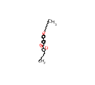 CCCCCCCCCOc1ccc(-c2ccc(CC(=O)C3CCC(CCCCCCC)CC3=O)cc2)cc1